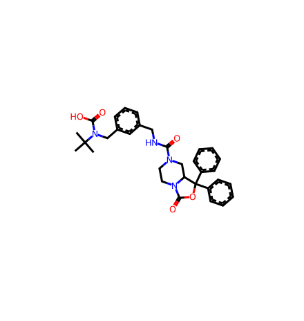 CC(C)(C)N(Cc1cccc(CNC(=O)N2CCN3C(=O)OC(c4ccccc4)(c4ccccc4)C3C2)c1)C(=O)O